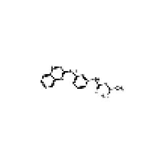 CN(C)CC(=O)Nc1cccc(Nc2cnc3ccccc3n2)c1